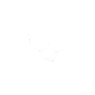 CC(=O)Oc1ccc(C)o1